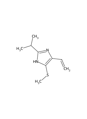 C=Cc1nc(C(C)C)[nH]c1SC